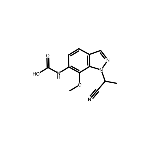 COc1c(NC(=O)O)ccc2cnn(C(C)C#N)c12